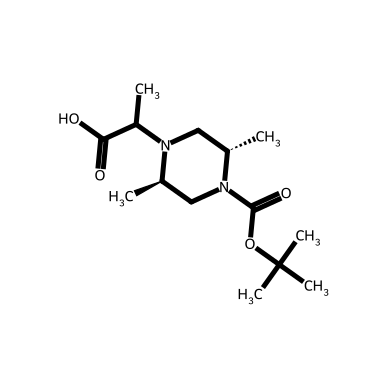 CC(C(=O)O)N1C[C@H](C)N(C(=O)OC(C)(C)C)C[C@H]1C